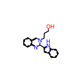 OCCCN1C=c2ccccc2=NC1c1cc2ccccc2[nH]1